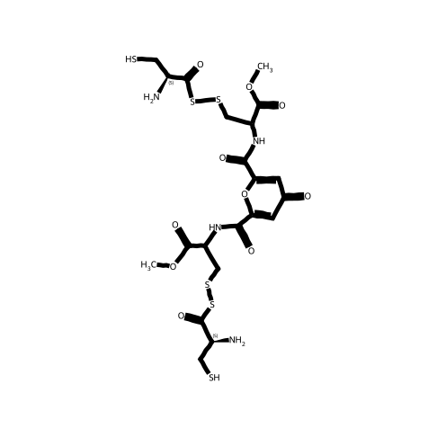 COC(=O)C(CSSC(=O)[C@@H](N)CS)NC(=O)c1cc(=O)cc(C(=O)NC(CSSC(=O)[C@@H](N)CS)C(=O)OC)o1